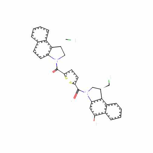 O=C(c1ccc(C(=O)N2C[C@@H](CCl)c3c2cc(O)c2ccccc32)s1)N1C[C@@H](CCl)c2c1c[c]c1ccccc21